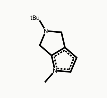 Cn1ccc2c1CN(C(C)(C)C)C2